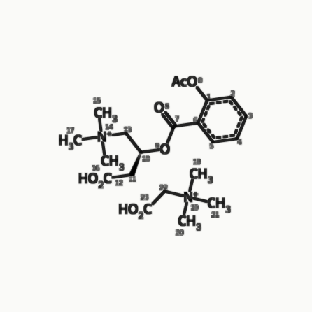 CC(=O)Oc1ccccc1C(=O)O[C@@H](CC(=O)O)C[N+](C)(C)C.C[N+](C)(C)CC(=O)O